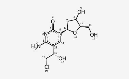 Nc1nc(=O)n([C@H]2CC(O)[C@@H](CO)O2)cc1[C@H](O)CCl